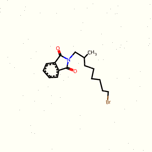 CC(CCCCCCBr)CN1C(=O)c2ccccc2C1=O